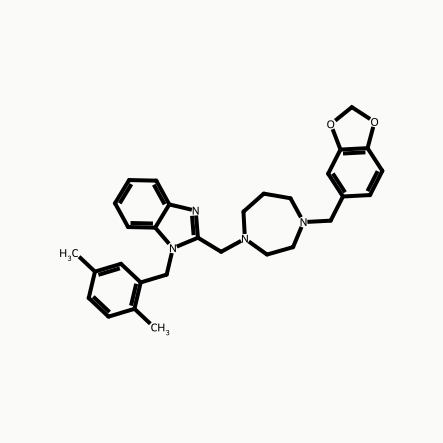 Cc1ccc(C)c(Cn2c(CN3CCCN(Cc4ccc5c(c4)OCO5)CC3)nc3ccccc32)c1